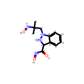 CC(C)(CN1NC(C(=O)N=O)c2ccccc21)N=O